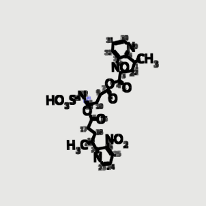 CC(CCC(=O)OC(=O)CC/C(=N/S(=O)(=O)O)OC(=O)CCC(C)c1ncccc1[N+](=O)[O-])c1ncccc1[N+](=O)[O-]